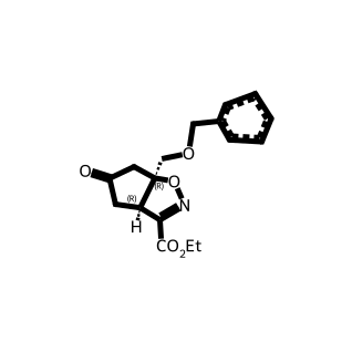 CCOC(=O)C1=NO[C@]2(COCc3ccccc3)CC(=O)C[C@H]12